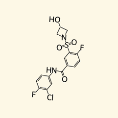 O=C(Nc1ccc(F)c(Cl)c1)c1ccc(F)c(S(=O)(=O)N2CC(O)C2)c1